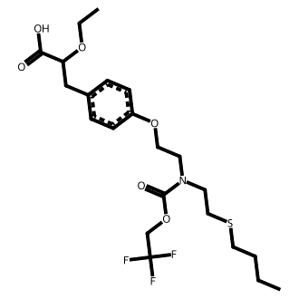 CCCCSCCN(CCOc1ccc(CC(OCC)C(=O)O)cc1)C(=O)OCC(F)(F)F